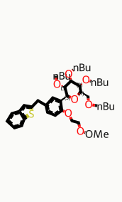 CCCCOC[C@H]1O[C@@H](c2cc(Cc3cc4ccccc4s3)ccc2OCCOOC)[C@H](OCCCC)C(OCCCC)[C@@H]1OCCCC